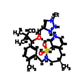 CCn1cc(CO[C@@H](c2ccc(C)c(CN3C[C@@H](C)Cc4ccncc4S3(=O)=O)c2)C(C)(C)C(=O)O)nn1